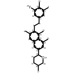 Cc1cc(CCc2c(C)cc3cc(C4CCC(C)CO4)cc(C)c3c2C)cc(F)c1C